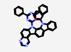 c1ccc(-c2nc(-c3ccccc3)nc(-n3c4ccc5ncncc5c4c4ccc5c6ccccc6n(-c6ccccc6)c5c43)n2)cc1